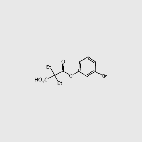 CCC(CC)(C(=O)O)C(=O)Oc1cccc(Br)c1